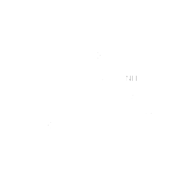 O=C1NC(=O)c2c1ccc1occc21